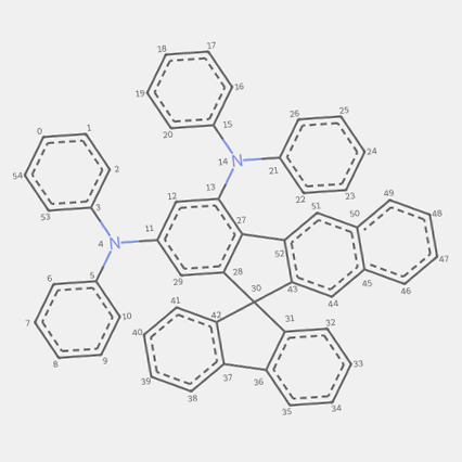 c1ccc(N(c2ccccc2)c2cc(N(c3ccccc3)c3ccccc3)c3c(c2)C2(c4ccccc4-c4ccccc42)c2cc4ccccc4cc2-3)cc1